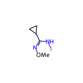 CO/N=C(\NI)C1CC1